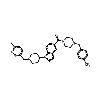 Cc1ccc(CN2CCC(n3ncc4cc(C(=O)N5CCN(Cc6ccc(C(F)(F)F)cc6)CC5)ccc43)CC2)cn1